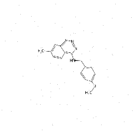 COc1ccc(CNc2nnnc3cc(C)ccc23)cc1